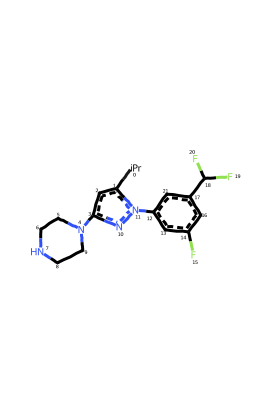 CC(C)c1cc(N2CCNCC2)nn1-c1cc(F)cc(C(F)F)c1